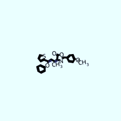 COc1ccc(C2=N/C(=C(C)/C=C(\Oc3ccccc3)c3cccs3)C(=O)O2)cc1